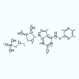 O=P(O)(O)COC[C@H]1O[C@@H](n2ccc3c(NCc4ccccc4)nc(Cl)nc32)[C@H](O)[C@@H]1O